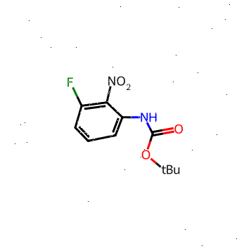 CC(C)(C)OC(=O)Nc1cccc(F)c1[N+](=O)[O-]